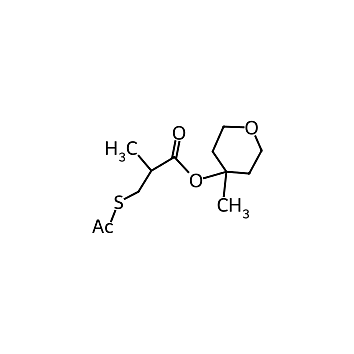 CC(=O)SCC(C)C(=O)OC1(C)CCOCC1